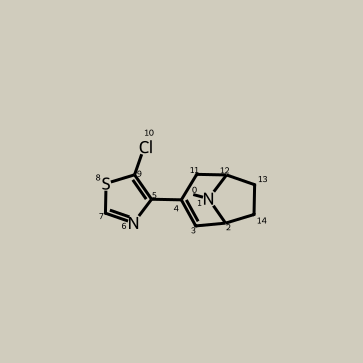 CN1C2C=C(c3ncsc3Cl)CC1CC2